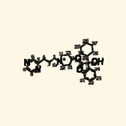 C[N+]1(CCCc2cnccn2)CCC(OC(=O)C(O)(c2ccccc2)C2CCCCC2)CC1